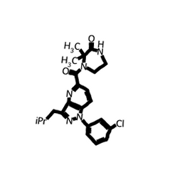 CC(C)Cc1nn(-c2cccc(Cl)c2)c2ccc(C(=O)N3CCNC(=O)C3(C)C)nc12